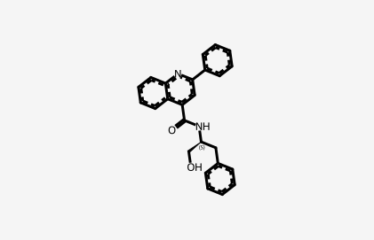 O=C(N[C@H](CO)Cc1ccccc1)c1cc(-c2ccccc2)nc2ccccc12